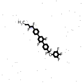 CCC/C(F)=C(\F)c1ccc(-c2cc(F)c(-c3ccc(C(F)(F)Oc4cc(F)c(F)c(F)c4)cc3)c(F)c2)cc1